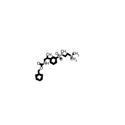 CC(CNC(=O)OCc1ccccc1)c1cccc(S(=O)(=O)N(C)CCN(C)C)c1